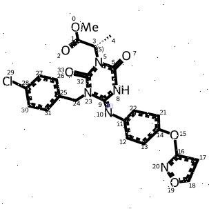 COC(=O)[C@H](C)n1c(=O)[nH]/c(=N\c2ccc(Oc3ccon3)cc2)n(Cc2ccc(Cl)cc2)c1=O